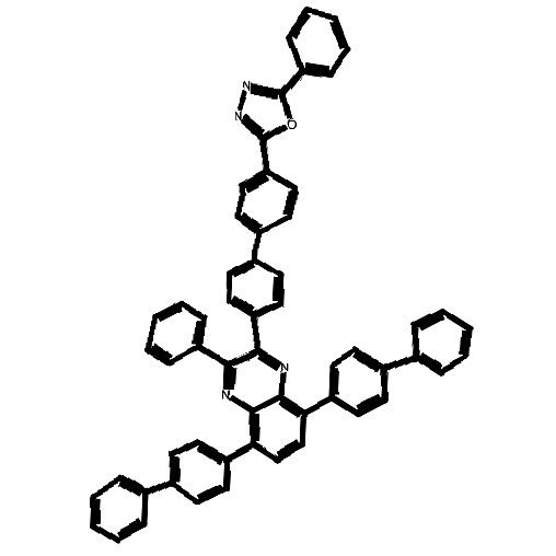 c1ccc(-c2ccc(-c3ccc(-c4ccc(-c5ccccc5)cc4)c4nc(-c5ccc(-c6ccc(-c7nnc(-c8ccccc8)o7)cc6)cc5)c(-c5ccccc5)nc34)cc2)cc1